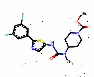 CN(C(=O)Nc1cnc(-c2cc(F)cc(F)c2)s1)C1CCN(C(=O)OC(C)(C)C)CC1